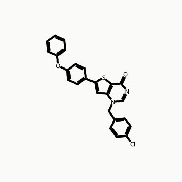 O=c1ncn(Cc2ccc(Cl)cc2)c2cc(-c3ccc(Oc4ccccc4)cc3)sc12